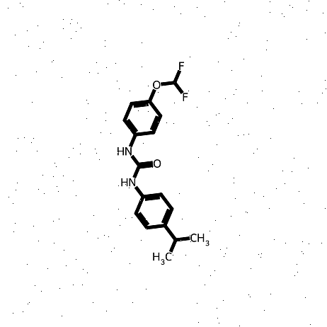 CC(C)c1ccc(NC(=O)Nc2ccc(OC(F)F)cc2)cc1